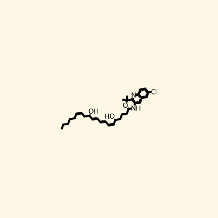 CCCCC/C=C\C[C@@H](O)/C=C/C=C/C=C\[C@@H](O)CCCC1Nc2cc3cc(Cl)ccc3nc2C(C)(C)O1